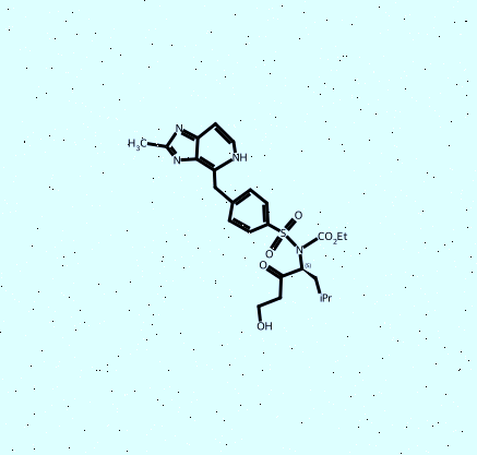 CCOC(=O)N([C@@H](CC(C)C)C(=O)CCO)S(=O)(=O)c1ccc(Cc2[nH]ccc3nc(C)nc2-3)cc1